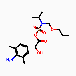 CCCOCN(C(C)C)S(=O)(=O)OC(=O)CO.Cc1cccc(C)c1N